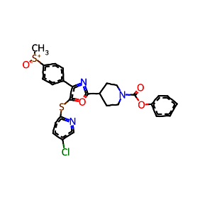 C[S+]([O-])c1ccc(-c2nc(C3CCN(C(=O)Oc4ccccc4)CC3)oc2Sc2ccc(Cl)cn2)cc1